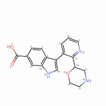 O=C(O)c1ccc2c(-c3cccnc3C3CNCCO3)c[nH]c2c1